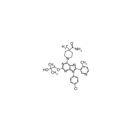 Cc1ccncc1-c1nc2c(N3CCC(C)(C(N)=O)CC3)nc(OCC(C)(C)O)nc2n1-c1ccc(Cl)cc1